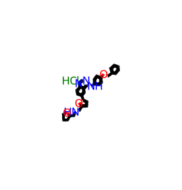 Cl.c1ccc(COc2ccc(Nc3ncnc4ccc(-c5ccc(CNCC6CCCO6)o5)cc34)cc2)cc1